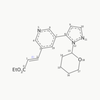 CCOC(=O)/C=C/c1cncc(-c2ccnn2C2CCCCO2)c1